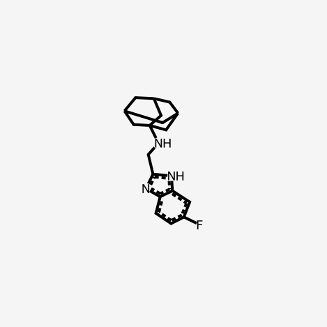 Fc1ccc2nc(CNC34CC5CC(CC(C5)C3)C4)[nH]c2c1